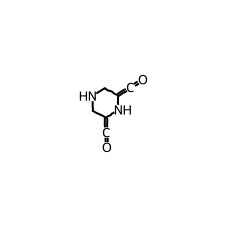 O=C=C1CNCC(=C=O)N1